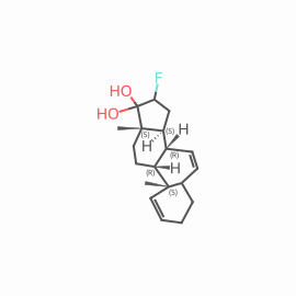 C[C@]12C=CCCC1C=C[C@@H]1[C@H]2CC[C@@]2(C)[C@H]1CC(F)C2(O)O